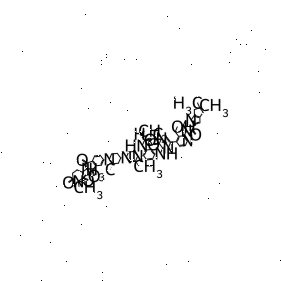 C=CC(=O)Nc1cc(Nc2nc(-c3ccnc(N4CCn5c(cc6c5CC(C)(C)C6)C4=O)c3CO)cn(C)c2=O)ccc1N1CCN(C2CCN(c3ccc4c(c3)C(=O)N(C3CCC(=O)N(C)C3=O)C4=O)[C@@H](C)C2)C[C@@H]1C